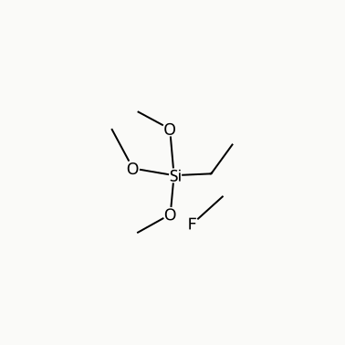 CC[Si](OC)(OC)OC.CF